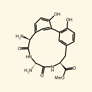 COC(=O)[C@@H]1Cc2ccc(O)c(c2)-c2cc(ccc2O)[C@H](N)C(=O)N[C@@H](N)C(=O)N1